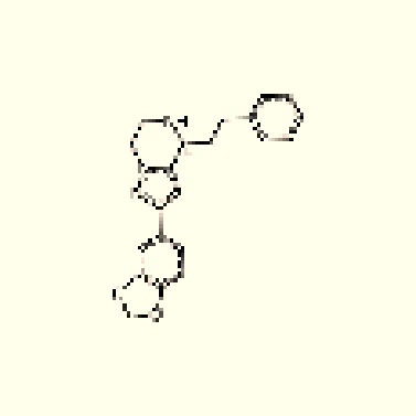 c1ccc(CC[C@@H]2NCCn3nc(-c4ccc5c(c4)OCO5)cc32)cc1